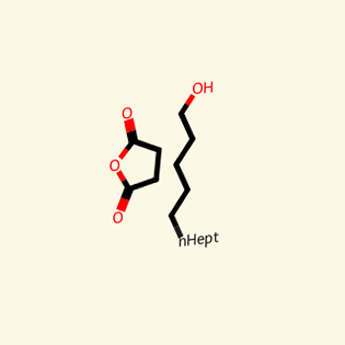 CCCCCCCCCCCCO.O=C1CCC(=O)O1